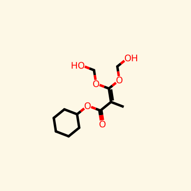 CC(C(=O)OC1CCCCC1)=C(OCO)OCO